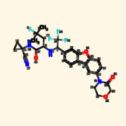 CC(C)(F)CC(NC(c1ccc2c(c1)oc1ccc(N3CCOCC3=O)cc12)C(F)(F)F)C(=O)NC1(C#N)CC1